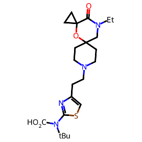 CCN1CC2(CCN(CCc3csc(N(C(=O)O)C(C)(C)C)n3)CC2)OC2(CC2)C1=O